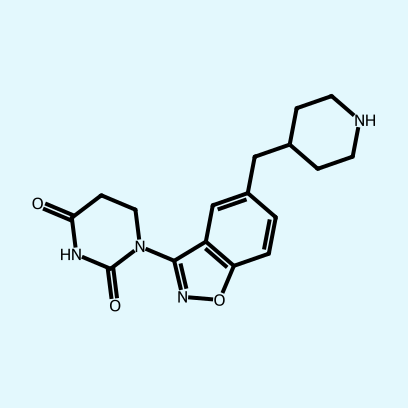 O=C1CCN(c2noc3ccc(CC4CCNCC4)cc23)C(=O)N1